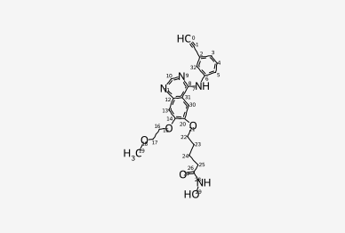 C#Cc1cccc(Nc2ncnc3cc(OCCOC)c(OCCCCC(=O)NO)cc23)c1